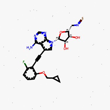 Nc1ncnc2c1c(C#Cc1c(F)cccc1OCC1CC1)cn2[C@@H]1O[C@H](CN=S)[C@@H](O)[C@H]1O